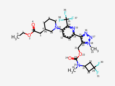 CCOC(=O)C[C@H]1CCCN(c2ccc(-c3nnn(C)c3COC(=O)N(C)C3CC(F)(F)C3)nc2C(F)(F)F)C1